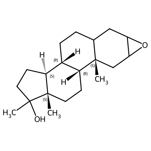 CC1(O)CC[C@H]2[C@@H]3CCC4CC5OC5C[C@]4(C)[C@@H]3CC[C@@]21C